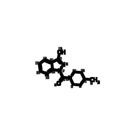 CC1CCN(C(=O)n2nc(O)c3cccnc32)CC1